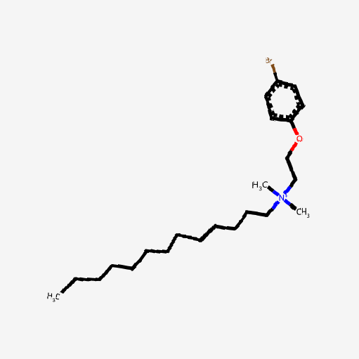 CCCCCCCCCCCCC[N+](C)(C)CCOc1ccc(Br)cc1